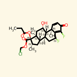 CCC(=O)O[C@]1(C(=O)OCCl)[C@@H](C)C[C@H]2[C@@H]3C[C@H](F)C4=C(F)C(=O)C=C[C@]4(C)[C@H]3[C@@H](O)C[C@@]21C